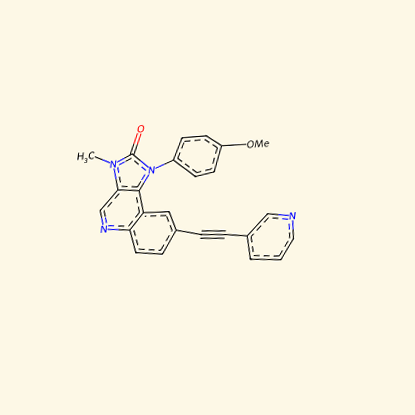 COc1ccc(-n2c(=O)n(C)c3cnc4ccc(C#Cc5cccnc5)cc4c32)cc1